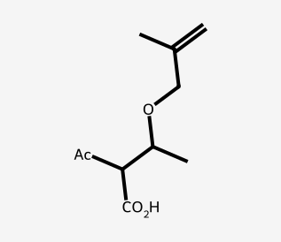 C=C(C)COC(C)C(C(C)=O)C(=O)O